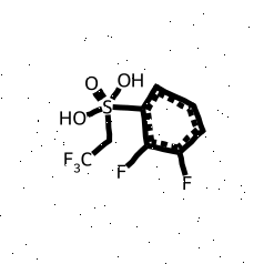 O=S(O)(O)(CC(F)(F)F)c1cccc(F)c1F